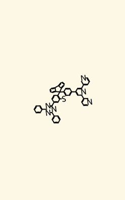 c1ccc(-c2nc(-c3ccccc3)nc(-c3ccc4c(c3)Sc3cc(-c5cc(-c6cccnc6)nc(-c6cccnc6)c5)ccc3C43c4ccccc4-c4ccccc43)n2)cc1